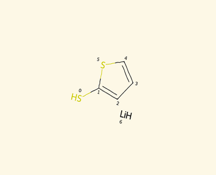 Sc1cccs1.[LiH]